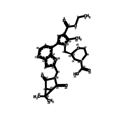 CCOC(=O)c1cc(-c2ccnc3cc(CN4C(=O)C5C(C4=O)C5(C)C)sc23)n(C[C@@H]2CN(C(=O)O)CCO2)c1C